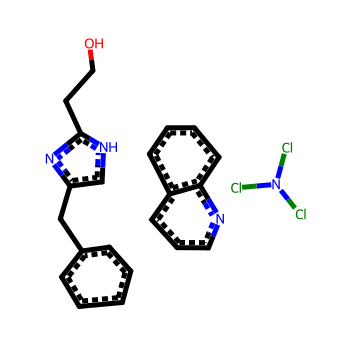 ClN(Cl)Cl.OCCc1nc(Cc2ccccc2)c[nH]1.c1ccc2ncccc2c1